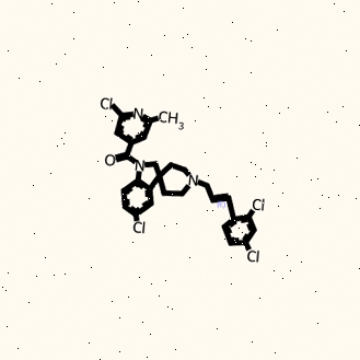 Cc1cc(C(=O)N2CC3(CCN(C/C=C/c4ccc(Cl)cc4Cl)CC3)c3cc(Cl)ccc32)cc(Cl)n1